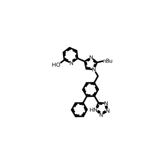 CCCCc1nc(-c2cccc(O)n2)cn1Cc1ccc(-c2ccccc2)c(-c2nnn[nH]2)c1